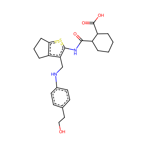 O=C(O)C1CCCCC1C(=O)Nc1sc2c(c1CNc1ccc(CCO)cc1)CCC2